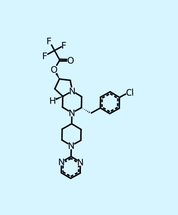 O=C(O[C@@H]1C[C@H]2CN(C3CCN(c4ncccn4)CC3)[C@@H](Cc3ccc(Cl)cc3)CN2C1)C(F)(F)F